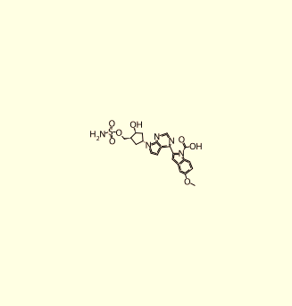 COc1ccc2c(c1)cc(-c1ncnc3c1ccn3[C@@H]1C[C@@H](COS(N)(=O)=O)[C@@H](O)C1)n2C(=O)O